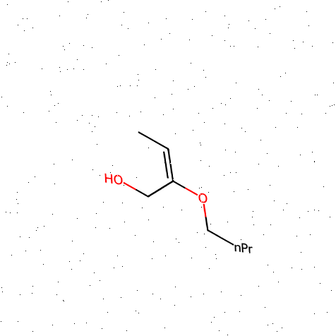 CC=C(CO)OCCCC